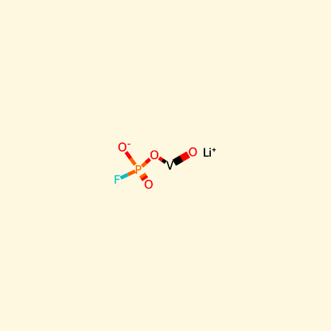 [Li+].[O]=[V][O]P(=O)([O-])F